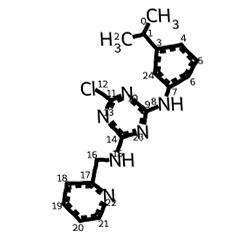 CC(C)c1cccc(Nc2nc(Cl)nc(NCc3ccccn3)n2)c1